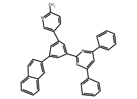 Cc1ccc(-c2cc(-c3ccc4ccccc4c3)cc(-c3nc(-c4ccccc4)cc(-c4ccccc4)n3)c2)cn1